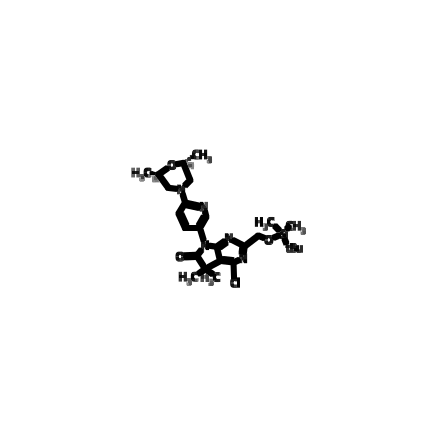 C[C@@H]1CN(c2ccc(N3C(=O)C(C)(C)c4c(Cl)nc(CO[Si](C)(C)C(C)(C)C)nc43)cn2)C[C@H](C)O1